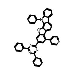 c1ccc(-c2nc(-c3ccccc3)nc(-c3cc(-c4ccncc4)c4c(c3)oc3c4ccc4c5ccccc5n(-c5ccccc5)c43)n2)cc1